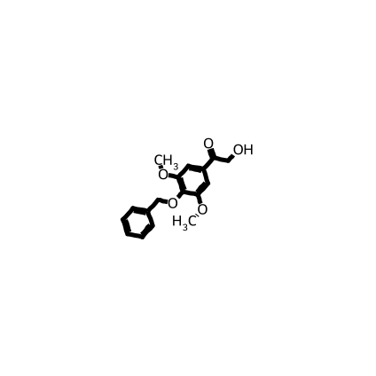 COc1cc(C(=O)CO)cc(OC)c1OCc1ccccc1